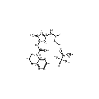 CCC(C)NC1=NC(=O)C(CC(=O)N2CCCc3ccccc32)S1.O=C(O)C(F)(F)F